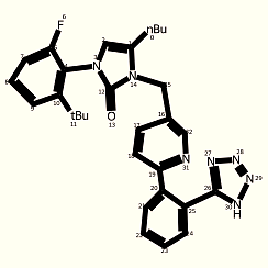 CCCCc1cn(-c2c(F)cccc2C(C)(C)C)c(=O)n1Cc1ccc(-c2ccccc2-c2nnn[nH]2)nc1